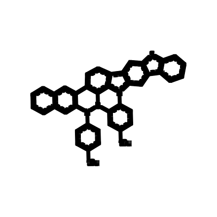 CC(C)(C)c1ccc(N2B3c4cc(C(C)(C)C)ccc4-n4c5cc6c(cc5c5ccc(c3c54)-c3cc4ccccc4cc32)sc2ccccc26)cc1